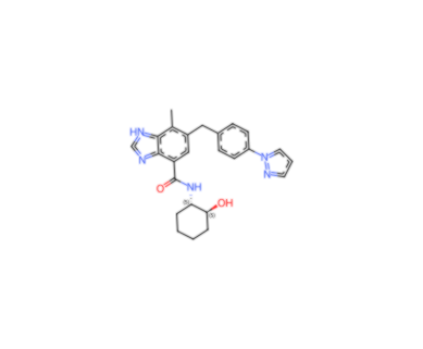 Cc1c(Cc2ccc(-n3cccn3)cc2)cc(C(=O)N[C@H]2CCCC[C@@H]2O)c2nc[nH]c12